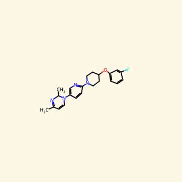 CC1=NC(C)N(c2ccc(N3CCC(Oc4cccc(F)c4)CC3)nc2)C=C1